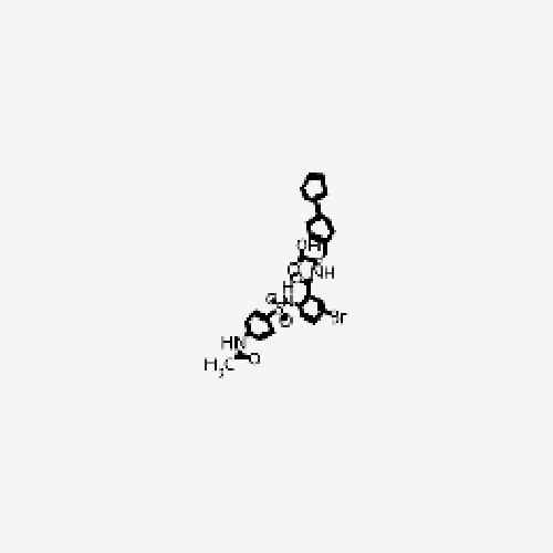 CC(=O)Nc1ccc(S(=O)(=O)Nc2ccc(Br)cc2C(=O)N[C@@H](Cc2ccc(-c3ccccc3)cc2)C(=O)O)cc1